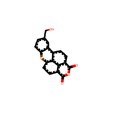 O=c1oc(=O)c2ccc3c4cc(CO)ccc4sc4ccc1c2c43